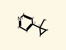 CC1(c2ccncc2)CC1